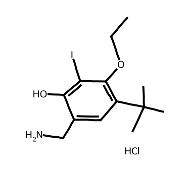 CCOc1c(C(C)(C)C)cc(CN)c(O)c1I.Cl